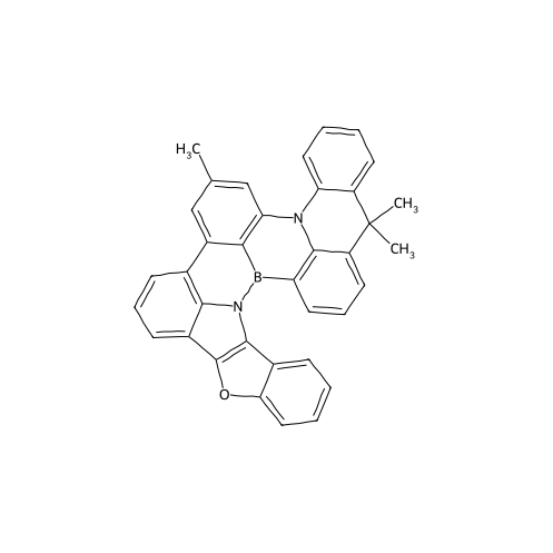 Cc1cc2c3c(c1)N1c4ccccc4C(C)(C)c4cccc(c41)B3n1c3c-2cccc3c2oc3ccccc3c21